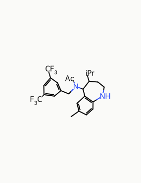 CC(=O)N(Cc1cc(C(F)(F)F)cc(C(F)(F)F)c1)C1c2cc(C)ccc2NCCC1C(C)C